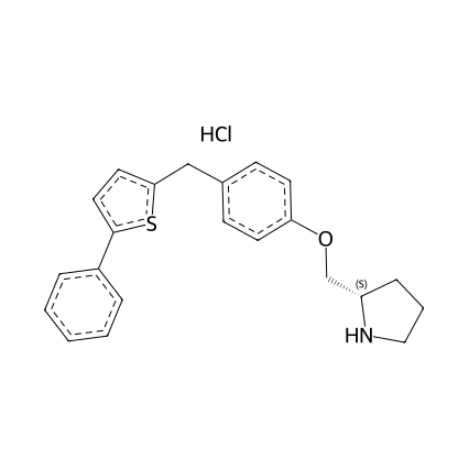 Cl.c1ccc(-c2ccc(Cc3ccc(OC[C@@H]4CCCN4)cc3)s2)cc1